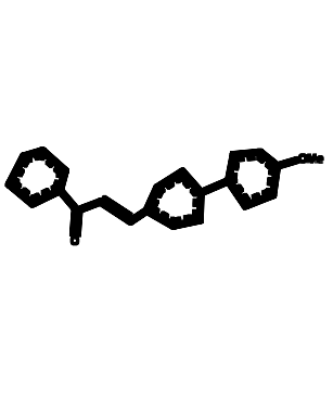 COc1ccc(-c2ccc(C=CC(=O)c3ccccc3)cc2)cc1